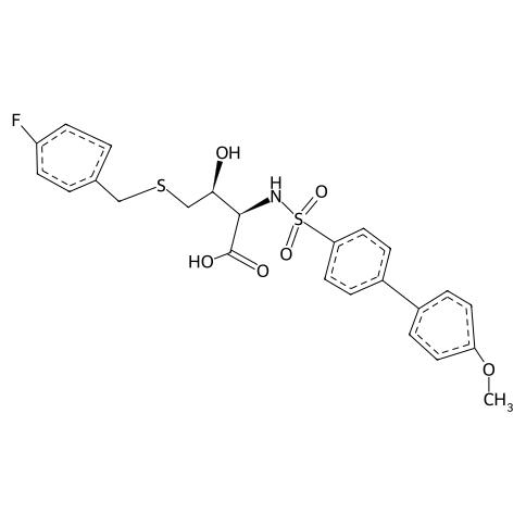 COc1ccc(-c2ccc(S(=O)(=O)N[C@@H](C(=O)O)[C@H](O)CSCc3ccc(F)cc3)cc2)cc1